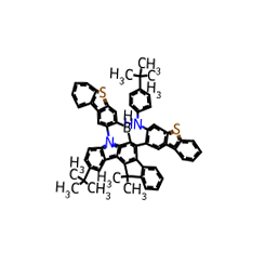 CC(C)(C)c1ccc(Nc2cc3sc4ccccc4c3cc2-c2c3c(c4c5cc(C(C)(C)C)ccc5n5c4c2Bc2cc4sc6ccccc6c4cc2-5)C(C)(C)c2ccccc2-3)cc1